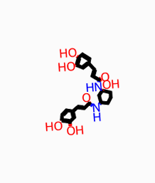 O=C(C=Cc1ccc(O)c(O)c1)NC1CCCC(O)(NC(=O)C=Cc2ccc(O)c(O)c2)C1